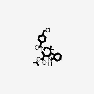 CC(C)OC(=O)C1=CN(C(=O)c2ccc(CCl)cc2)CC(C)(C)c2c1[nH]c1ccccc21